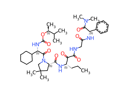 CCC[C@H](NC(=O)[C@@H]1CC(C)(C)CN1C(=O)[C@@H](NC(=O)O[C@@H](C)C(C)C)C1CCCCC1)C(=O)C(=O)NCC(=O)N[C@H](C(=O)N(C)C)c1ccccc1